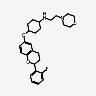 Fc1ccccc1C1CCc2cc(OC3CCC(NCCN4CCSCC4)CC3)ccc2O1